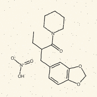 CCC(Cc1ccc2c(c1)OCO2)C(=O)N1CCCCC1.O=[N+]([O-])O